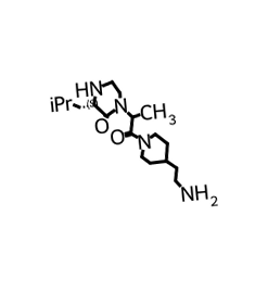 CC(C)C[C@@H]1NCCN(C(C)C(=O)N2CCC(CCN)CC2)C1=O